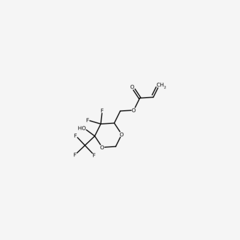 C=CC(=O)OCC1OCOC(O)(C(F)(F)F)C1(F)F